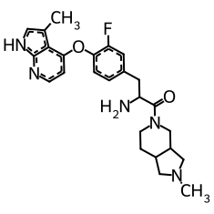 Cc1c[nH]c2nccc(Oc3ccc(CC(N)C(=O)N4CCC5CN(C)CC5C4)cc3F)c12